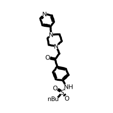 CCCCS(=O)(=O)Nc1ccc(C(=O)CN2CCN(c3ccncc3)CC2)cc1